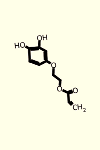 C=CC(=O)OCCOc1ccc(O)c(O)c1